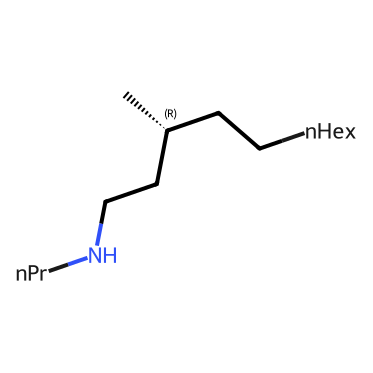 CCCCCCCC[C@@H](C)CCNCCC